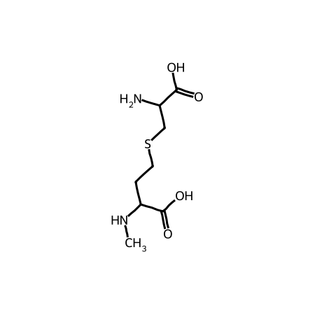 CNC(CCSCC(N)C(=O)O)C(=O)O